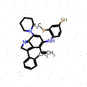 C=Cc1c(Nc2ccc(S)cc2SC)cc(N2CCCCC2)c2c1=C(c1ccccc1C)CN=2